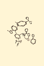 COC(=O)c1ccc(-c2ccc(OC)c(-c3ccc(C(F)(F)F)cc3CN3CC[C@@H](c4ccccc4OC)OC3=O)c2)c(C)c1